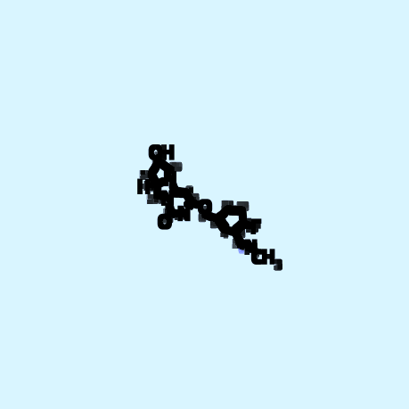 C/N=C/c1cc(COc2cc3n(c(=O)n2)C[C@@H]2C[C@H](O)CN32)ccc1F